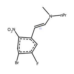 CCCN(C)/C=C/c1cc(F)c(Br)cc1[N+](=O)[O-]